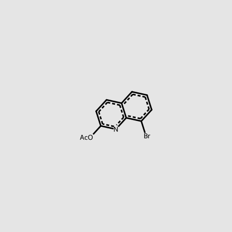 CC(=O)Oc1ccc2cccc(Br)c2n1